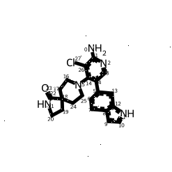 Nc1ncc(-c2ccc3cc[nH]c3c2)c(N2CCC3(CCNC3=O)CC2)c1Cl